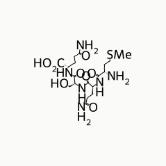 CSCC[C@H](N)C(=O)N[C@@H](CCC(N)=O)C(=O)N[C@@H](CO)C(=O)N[C@@H](CCC(N)=O)C(=O)O